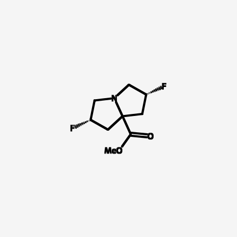 COC(=O)C12C[C@H](F)CN1C[C@H](F)C2